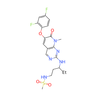 CCC(CCNS(C)(=O)=O)Nc1ncc2cc(Oc3ccc(F)cc3F)c(=O)n(C)c2n1